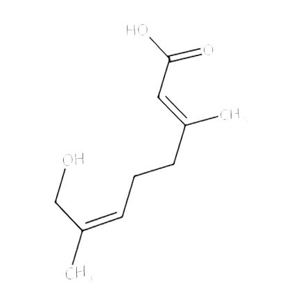 CC(=CCCC(C)=CC(=O)O)CO